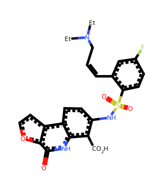 CCN(CC)C/C=C\c1cc(F)ccc1S(=O)(=O)Nc1ccc2c([nH]c(=O)c3occc32)c1C(=O)O